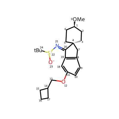 CO[C@H]1CC[C@]2(CC1)Cc1ccc(OCC3CCC3)cc1C2=N[S+]([O-])C(C)(C)C